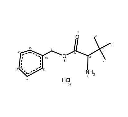 CC(C)(C)C(N)C(=O)OCc1ccccc1.Cl